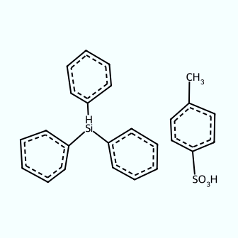 Cc1ccc(S(=O)(=O)O)cc1.c1ccc([SiH](c2ccccc2)c2ccccc2)cc1